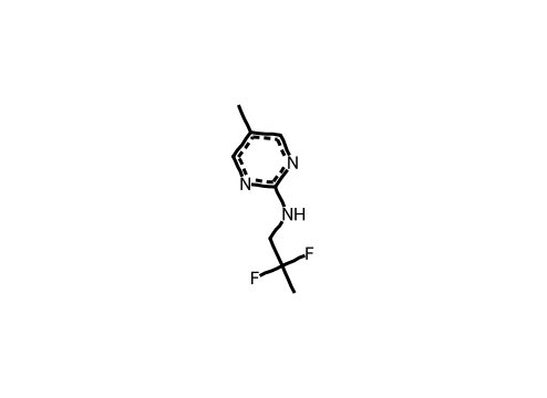 Cc1cnc(NCC(C)(F)F)nc1